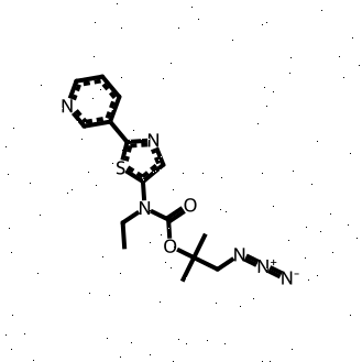 CCN(C(=O)OC(C)(C)CN=[N+]=[N-])c1cnc(-c2cccnc2)s1